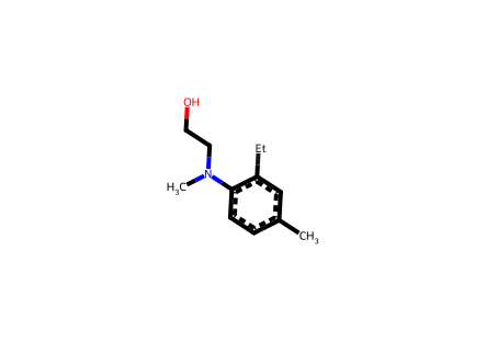 CCc1cc(C)ccc1N(C)CCO